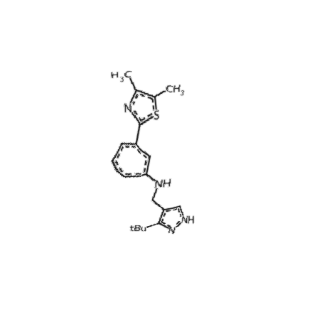 Cc1nc(-c2cccc(NCc3c[nH]nc3C(C)(C)C)c2)sc1C